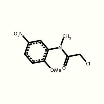 COc1ccc([N+](=O)[O-])cc1N(C)C(=O)CCl